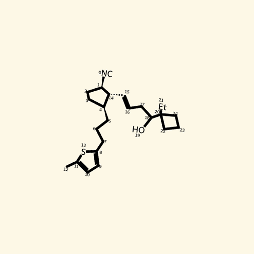 [C-]#[N+][C@@H]1CC[C@H](CCCc2ccc(C)s2)[C@H]1/C=C/CC(O)C1(CC)CCC1